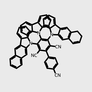 N#Cc1ccc(-c2c(C#N)c(-n3c4ccccc4c4cc5c(cc43)C=CCC5)c(-n3c4ccccc4c4ccccc43)c(-n3c4ccccc4c4cc5ccccc5cc43)c2C#N)cc1